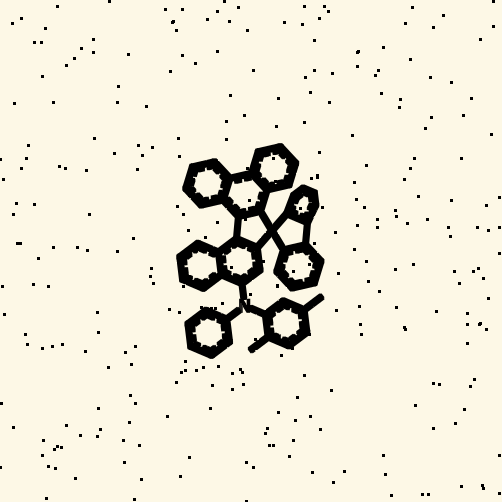 Cc1ccc(C)c(N(c2ccccc2)c2cc3c(c4ccccc24)-c2c(c4ccccc4c4ccccc24)C32c3ccccc3-c3ccccc32)c1